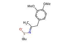 COc1ccc(C/C(C)=N/[S@@+]([O-])C(C)(C)C)cc1OC